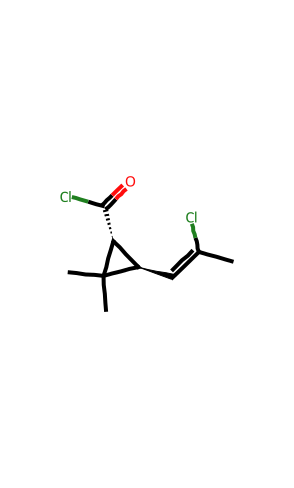 C/C(Cl)=C/[C@@H]1[C@@H](C(=O)Cl)C1(C)C